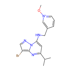 CO[n+]1cccc(CNc2cc(C(C)C)nc3c(Br)cnn23)c1